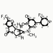 CN(c1nc(-c2ccncc2F)cc(=O)n1C)[C@@H]1[C@H]2CN3C(=O)c4cc(C(F)(F)F)oc4C3[C@H]21